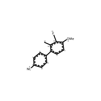 COc1ccc(-c2ccc(C#N)cc2)c(C)c1F